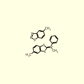 Cc1ccc2sc(=[N+](C)c3ccccc3)sc2c1.Cc1ccc2snnc2c1